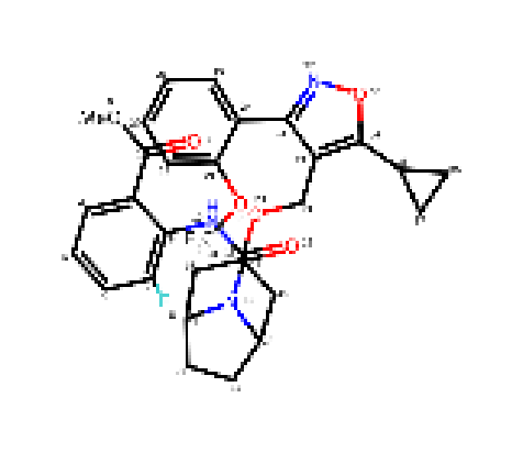 COC(=O)c1cccc(F)c1NC(=O)N1C2CCC1CC(OCc1c(-c3ccccc3OC(F)(F)F)noc1C1CC1)C2